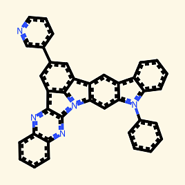 c1ccc(-n2c3ccccc3c3cc4c5cc(-c6cccnc6)cc6c7nc8ccccc8nc7n(c4cc32)c56)cc1